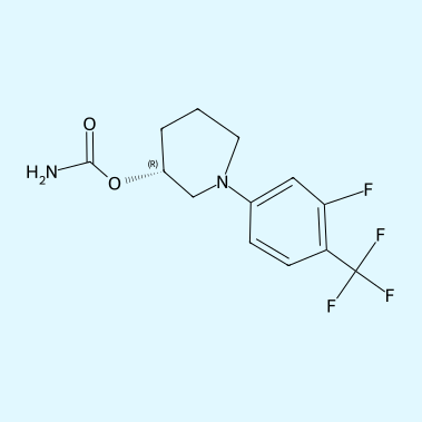 NC(=O)O[C@@H]1CCCN(c2ccc(C(F)(F)F)c(F)c2)C1